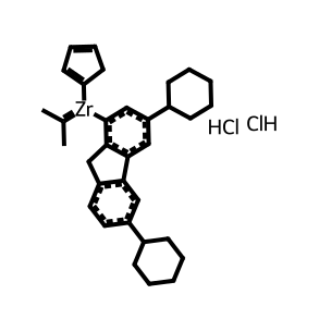 C[C](C)=[Zr]([C]1=CC=CC1)[c]1cc(C2CCCCC2)cc2c1Cc1ccc(C3CCCCC3)cc1-2.Cl.Cl